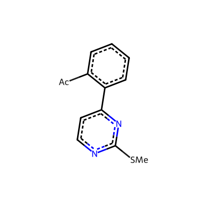 CSc1nccc(-c2ccccc2C(C)=O)n1